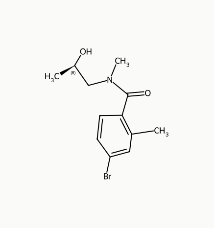 Cc1cc(Br)ccc1C(=O)N(C)C[C@@H](C)O